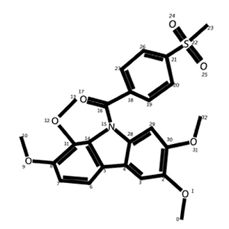 COc1cc2c3ccc(OC)c(OC)c3n(C(=O)c3ccc(S(C)(=O)=O)cc3)c2cc1OC